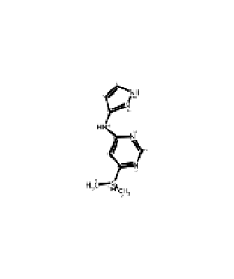 C[SH](C)c1cc(Nc2cc[nH]n2)ncn1